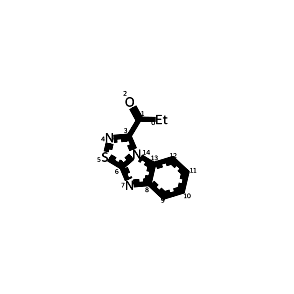 CCC(=O)c1nsc2nc3ccccc3n12